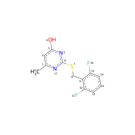 Cc1cc(O)nc(SCc2c(F)cccc2F)n1